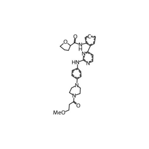 COCCC(=O)N1CCN(c2ccc(Nc3nccc(-c4ccccc4NC(=O)C4CCCO4)n3)cc2)CC1